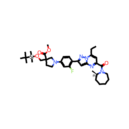 CCc1cc(C(=O)N2CCCCC[C@H]2C)nc2cc(-c3ccc(N4CCC(CO[Si](C)(C)C(C)(C)C)(C(=O)OC)C4)cc3F)nn12